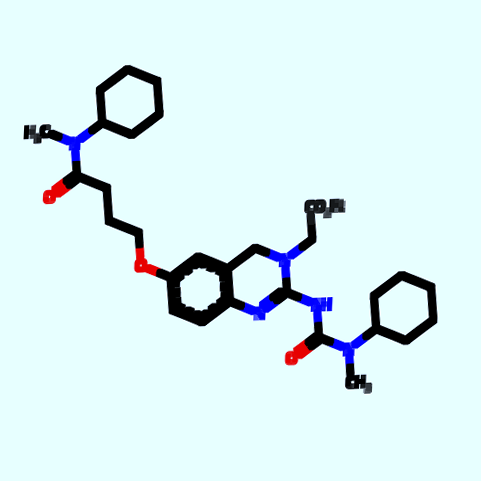 CCOC(=O)CN1Cc2cc(OCCCC(=O)N(C)C3CCCCC3)ccc2N=C1NC(=O)N(C)C1CCCCC1